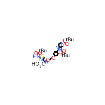 CC(C)(C)OC(=O)Nc1nc(C(=NOCCOc2ccc(-c3nc4c(n3C(=O)OC(C)(C)C)CN(C(=O)OC(C)(C)C)CC4)cc2)C(=O)O)cs1